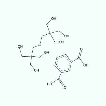 O=C(O)c1cccc(C(=O)O)c1.OCC(CO)(CO)COCC(CO)(CO)CO